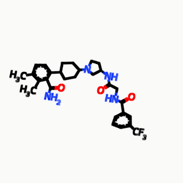 Cc1ccc(C2CCC(N3CC[C@@H](NC(=O)CNC(=O)c4cccc(C(F)(F)F)c4)C3)CC2)c(C(N)=O)c1C